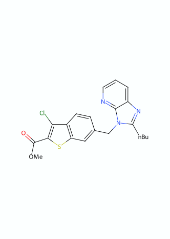 CCCCc1nc2cccnc2n1Cc1ccc2c(Cl)c(C(=O)OC)sc2c1